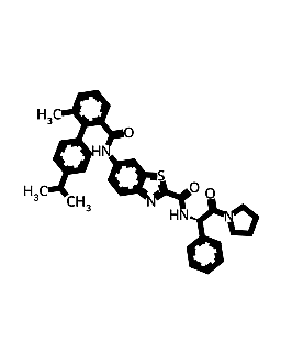 Cc1cccc(C(=O)Nc2ccc3nc(C(=O)N[C@H](C(=O)N4CCCC4)c4ccccc4)sc3c2)c1-c1ccc(C(C)C)cc1